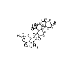 C[C@H]1CN(C(=O)[C@@H](C)Oc2ccc3c(-c4ccc(F)cc4Cl)c[nH]c(=O)c3c2)C[C@H](C)O1